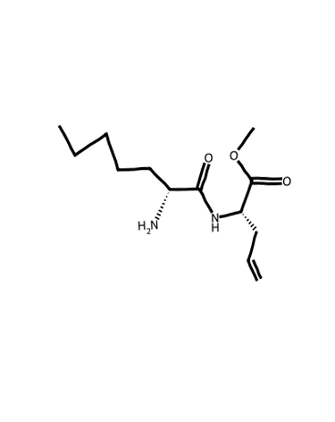 C=CC[C@H](NC(=O)[C@H](N)CCCCC)C(=O)OC